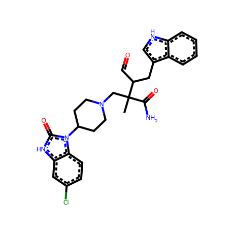 CC(CN1CCC(n2c(=O)[nH]c3cc(Cl)ccc32)CC1)(C(N)=O)C(C=O)Cc1c[nH]c2ccccc12